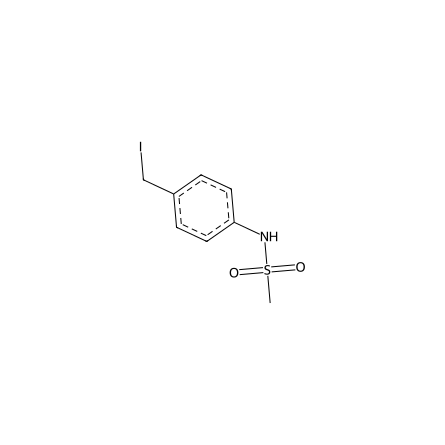 CS(=O)(=O)Nc1ccc(CI)cc1